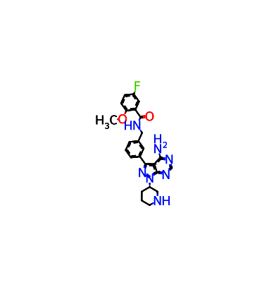 COc1ccc(F)cc1C(=O)NCc1cccc(-c2nn([C@@H]3CCCNC3)c3ncnc(N)c23)c1